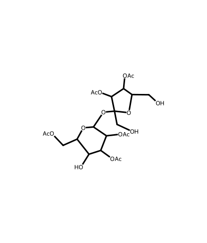 CC(=O)OCC1OC(OC2(CO)OC(CO)C(OC(C)=O)C2OC(C)=O)C(OC(C)=O)C(OC(C)=O)C1O